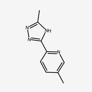 Cc1ccc(-c2nnc(C)[nH]2)nc1